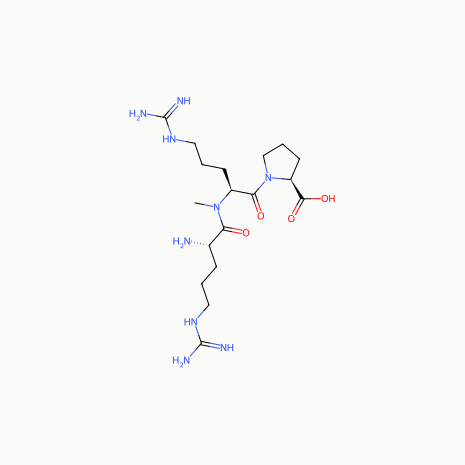 CN(C(=O)[C@@H](N)CCCNC(=N)N)[C@@H](CCCNC(=N)N)C(=O)N1CCC[C@H]1C(=O)O